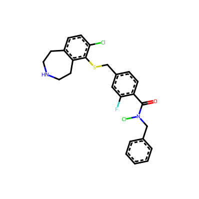 O=C(c1ccc(CSc2c(Cl)ccc3c2CCNCC3)cc1F)N(Cl)Cc1ccccc1